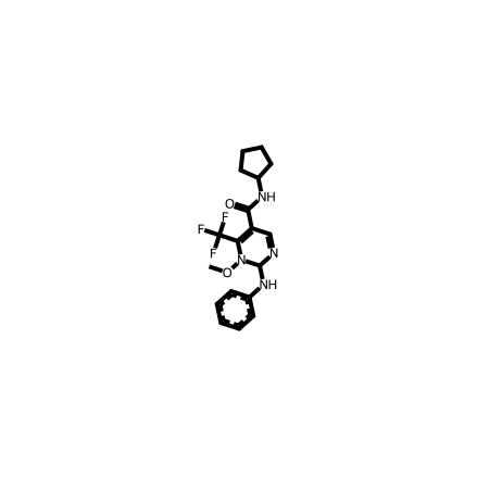 CON1C(C(F)(F)F)=C(C(=O)NC2CCCC2)C=NC1Nc1ccccc1